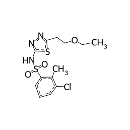 CCOCCc1nnc(NS(=O)(=O)c2cccc(Cl)c2C)s1